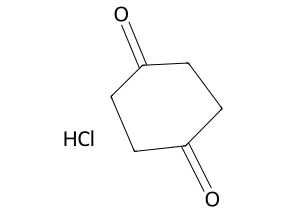 Cl.O=C1CCC(=O)CC1